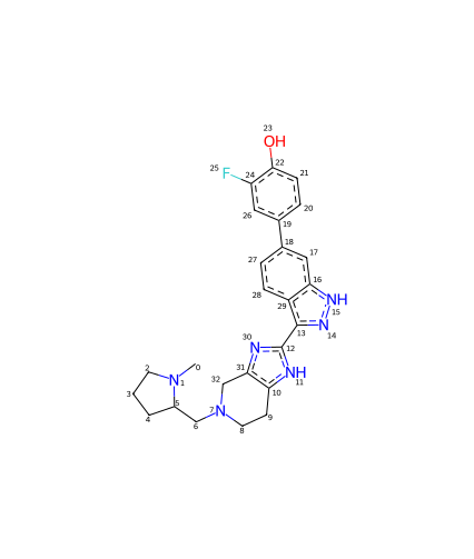 CN1CCCC1CN1CCc2[nH]c(-c3n[nH]c4cc(-c5ccc(O)c(F)c5)ccc34)nc2C1